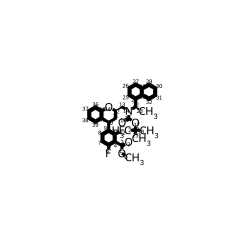 COC(=O)c1c(F)ccc(C2C[C@H](CN(C(=O)OC(C)(C)C)[C@H](C)c3cccc4ccccc34)Oc3ccccc32)c1F